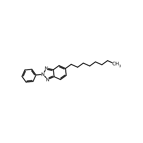 CCCCCCCCc1ccc2nn(-c3ccccc3)nc2c1